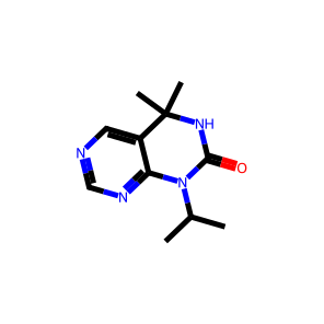 CC(C)N1C(=O)NC(C)(C)c2cncnc21